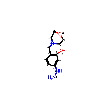 NNc1ccc(CN2CCOCC2)c(O)c1